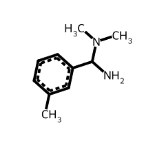 Cc1cccc(C(N)N(C)C)c1